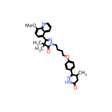 COc1ccc(C2=NN(CCCCOc3ccc(C4=NNC(=O)CC4C)cc3)C(=O)C2(C)C)c2cccnc12